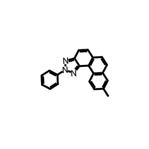 Cc1ccc2c(ccc3ccc4nn(-c5ccccc5)nc4c32)c1